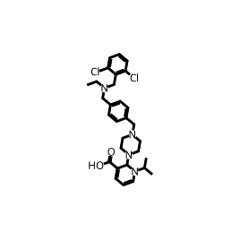 CCN(Cc1ccc(CN2CCN(C3C(C(=O)O)=CC=CN3C(C)C)CC2)cc1)Cc1c(Cl)cccc1Cl